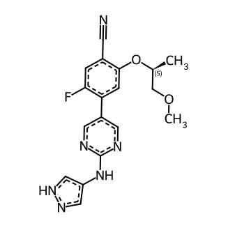 COC[C@H](C)Oc1cc(-c2cnc(Nc3cn[nH]c3)nc2)c(F)cc1C#N